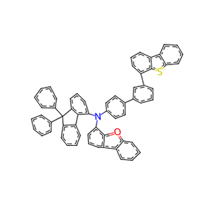 c1ccc(C2(c3ccccc3)c3ccccc3-c3c(N(c4ccc(-c5cccc(-c6cccc7c6sc6ccccc67)c5)cc4)c4cccc5c4oc4ccccc45)cccc32)cc1